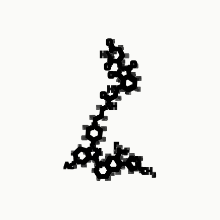 CC(=O)N1CCc2c(c(N3CCCc4cc(-c5cnn(C)c5)c(C(F)F)cc43)nn2C2CCN(CCCNC(=O)CNc3cccc4c3C(=O)N(C3CCC(=O)NC3=O)C4=O)CC2)C1